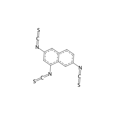 S=C=Nc1cc(N=C=S)c2cc(N=C=S)ccc2c1